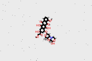 COCC(=O)[C@]1(O)Cc2c(O)c3c(c(O)c2[C@@H](O[C@H]2CC4[C@H](O[C@@H]5[C@@H](O)OCCN45)[C@H](C)O2)C1)C(=O)c1c(OC)cccc1C3=O